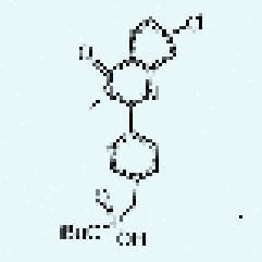 CC(C)COP(=O)(O)Cc1ccc(-c2nc3cc(Cl)ccc3c(=O)n2C)cc1